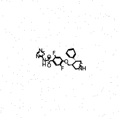 O=S(=O)(Nc1ncns1)c1cc(F)c(OC[C@@H]2CNCC[C@H]2c2ccccc2)cc1F